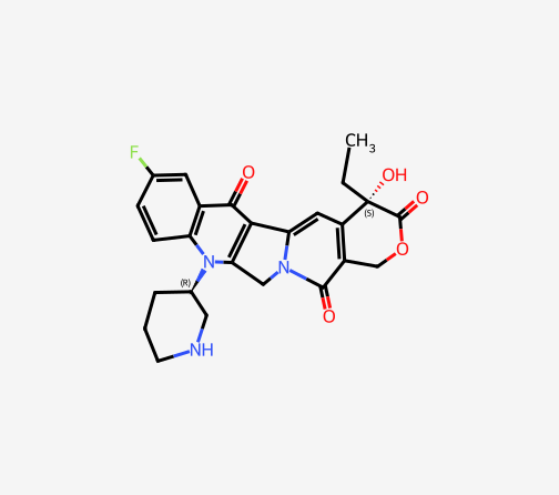 CC[C@@]1(O)C(=O)OCc2c1cc1n(c2=O)Cc2c-1c(=O)c1cc(F)ccc1n2[C@@H]1CCCNC1